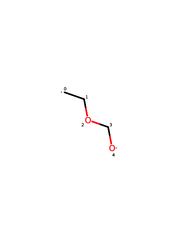 [CH2]COC[O]